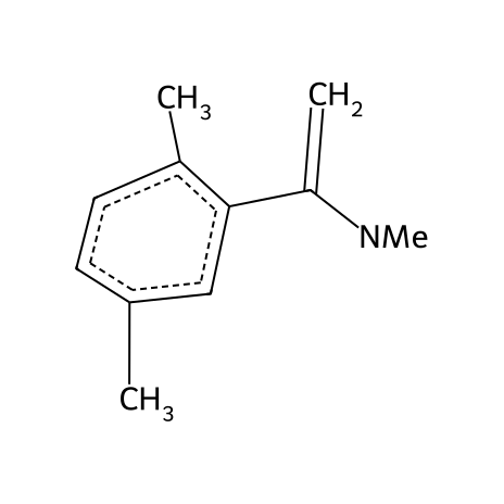 C=C(NC)c1cc(C)ccc1C